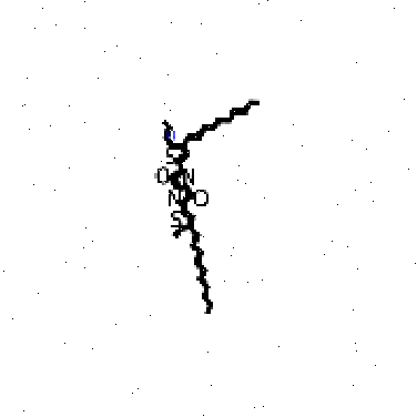 C/C=C/c1sc(-c2nc3c(=O)c(-c4cc(CCCCCCCCCC)c(C)s4)nc=3c2=O)cc1CCCCCCCCCC